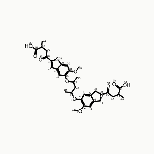 COc1cc2c(cc1OC(C)CC(C)Oc1cc3cc(C(=O)CC(C)C(=O)O)sc3cc1OC)CN(C(=O)CC(C)C(=O)O)C2